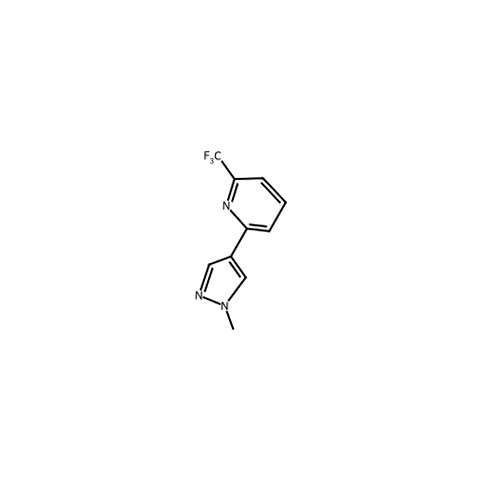 Cn1cc(-c2cccc(C(F)(F)F)n2)cn1